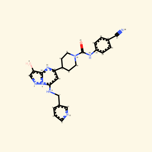 Bc1cnn2c(NCc3cccnc3)cc(C3CCN(C(=O)Nc4ccc(C#N)cc4)CC3)nc12